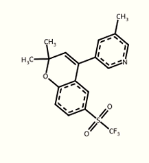 Cc1cncc(C2=CC(C)(C)Oc3ccc(S(=O)(=O)C(F)(F)F)cc32)c1